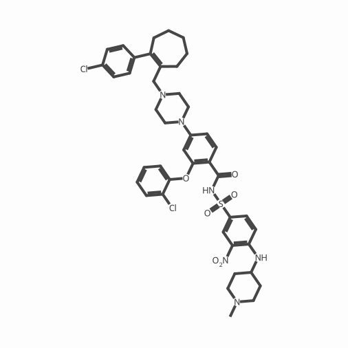 CN1CCC(Nc2ccc(S(=O)(=O)NC(=O)c3ccc(N4CCN(CC5=C(c6ccc(Cl)cc6)CCCCC5)CC4)cc3Oc3ccccc3Cl)cc2[N+](=O)[O-])CC1